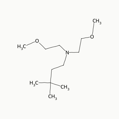 COCCN(CCOC)CCC(C)(C)C